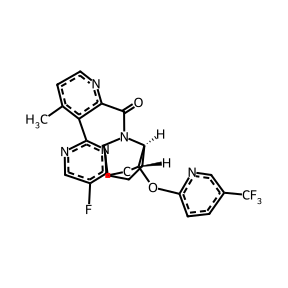 Cc1ccnc(C(=O)N2CC3CC[C@H]2[C@H](Oc2ccc(C(F)(F)F)cn2)C3)c1-c1ncc(F)cn1